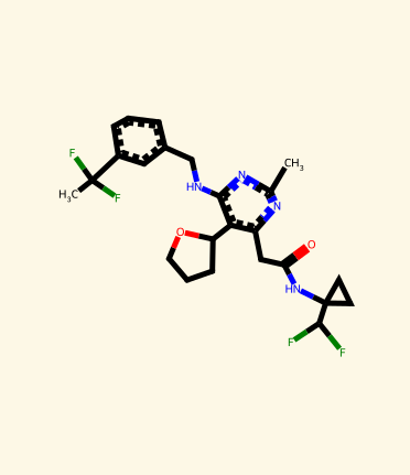 Cc1nc(CC(=O)NC2(C(F)F)CC2)c(C2CCCO2)c(NCc2cccc(C(C)(F)F)c2)n1